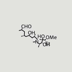 CC[C@@H](OC)[C@@](C)(O)[C@H](O)[C@@H](C)N(C)C[C@H](C)C[C@H](O)C[C@@H](C)C[C@@H](C)C=O